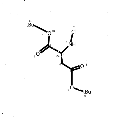 CC(C)(C)OC(=O)C[C@H](NCl)C(=O)OC(C)(C)C